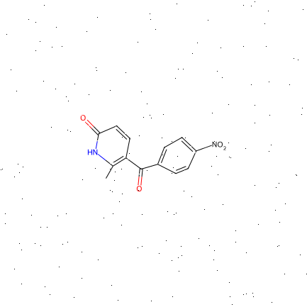 Cc1[nH]c(=O)ccc1C(=O)c1ccc([N+](=O)[O-])cc1